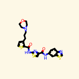 O=C(Nc1ccc2ncsc2c1)c1csc(NC(=O)c2sccc2CCCN2CCOCC2)n1